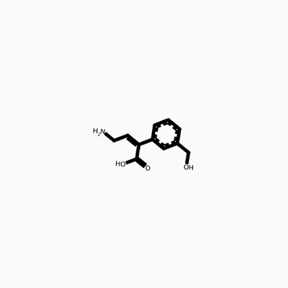 NCC=C(C(=O)O)c1cccc(CO)c1